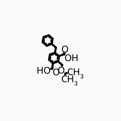 CC(C)OCc1c(C(=O)O)ccc(Cc2ccccc2)c1C(=O)O